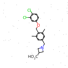 Cc1cc(CN2CC(C(=O)O)C2)cc(C)c1COc1ccc(Cl)c(Cl)c1